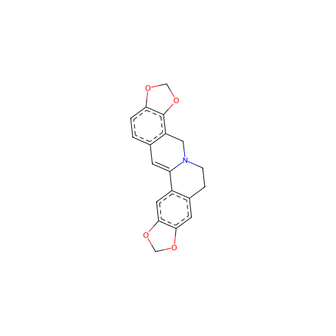 C1=C2c3cc4c(cc3CCN2Cc2c1ccc1c2OCO1)OCO4